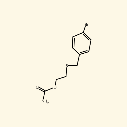 NC(=O)OCCSCc1ccc(Br)cc1